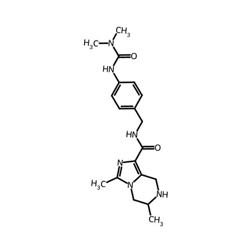 Cc1nc(C(=O)NCc2ccc(NC(=O)N(C)C)cc2)c2n1CC(C)NC2